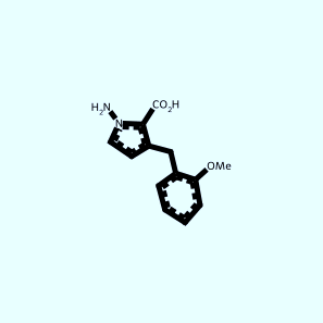 COc1ccccc1Cc1ccn(N)c1C(=O)O